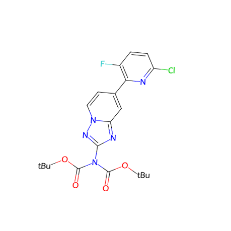 CC(C)(C)OC(=O)N(C(=O)OC(C)(C)C)c1nc2cc(-c3nc(Cl)ccc3F)ccn2n1